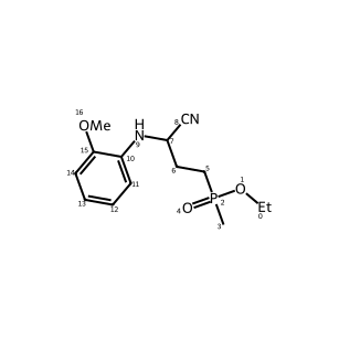 CCOP(C)(=O)CCC(C#N)Nc1ccccc1OC